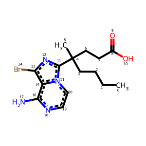 CCCCC(C)(CCC(=O)O)c1nc(Br)c2c(N)nccn12